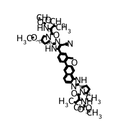 COC[C@H]1C[C@@H](c2nc(C#N)c(-c3ccc4c(c3)COc3cc5c(ccc6nc([C@@H]7CC[C@H](C)N7C(=O)[C@@H](NC(=O)OC)C(C)C)[nH]c65)cc3-4)[nH]2)N(C(=O)[C@@H](NC(=O)OC)C(C)C)C1